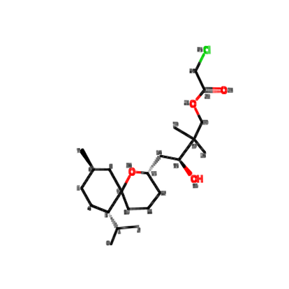 CC(C)[C@@H]1CC[C@@H](C)CC12CCC[C@@H](C[C@H](O)C(C)(C)COC(=O)CCl)O2